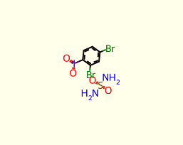 NS(N)(=O)=O.O=I(=O)c1ccc(Br)cc1Br